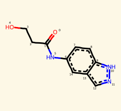 O=C(CCO)Nc1ccc2[nH]ncc2c1